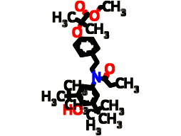 CCOC(=O)C(C)(C)Oc1ccc(CCN(C(=O)CC)c2cc(C(C)(C)C)c(O)c(C(C)(C)C)c2)cc1